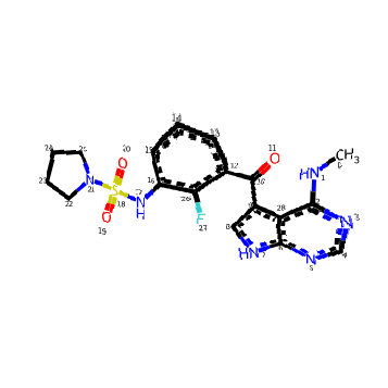 CNc1ncnc2[nH]cc(C(=O)c3cccc(NS(=O)(=O)N4CCCC4)c3F)c12